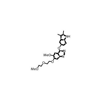 COCCOCCOc1cc2ncnc(Oc3ccc4[nH]c(C)c(C)c4c3)c2cc1OC